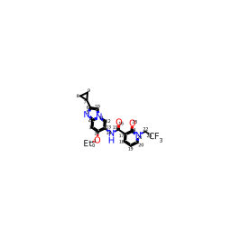 CCOc1cc2nc(C3CC3)cn2cc1NC(=O)c1cccn(CC(F)(F)F)c1=O